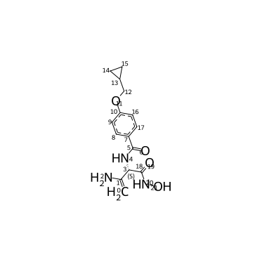 C=C(N)[C@H](NC(=O)c1ccc(OCC2CC2)cc1)C(=O)NO